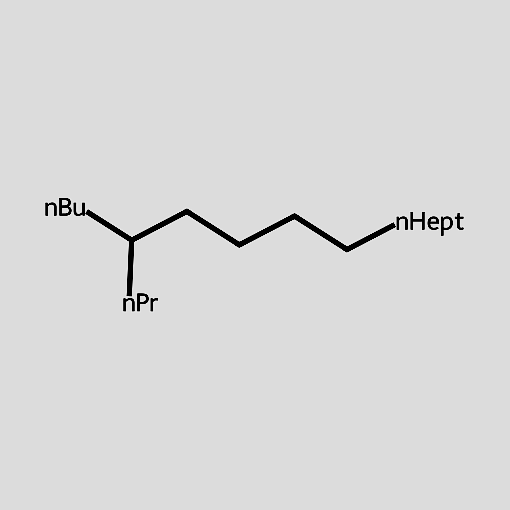 [CH2]CCCC(CCC)CCCCCCCCCCC